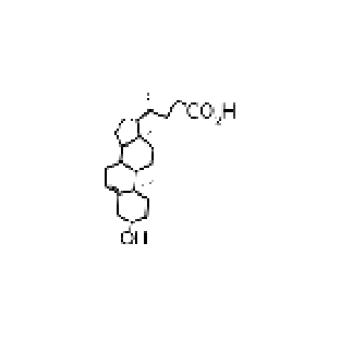 C[C@H](CCC(=O)O)[C@H]1CCC2C3CC=C4C[C@@H](O)CC[C@]4(C)C3CC[C@@]21C